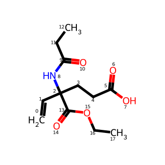 C=CC(CCC(=O)O)(NC(=O)CC)C(=O)OCC